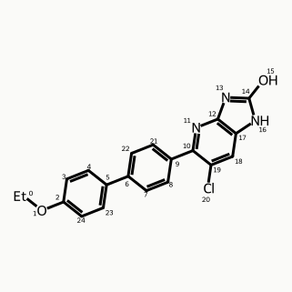 CCOc1ccc(-c2ccc(-c3nc4nc(O)[nH]c4cc3Cl)cc2)cc1